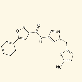 N#Cc1ccc(Cn2cc(NC(=O)c3cc(-c4ccccc4)on3)cn2)s1